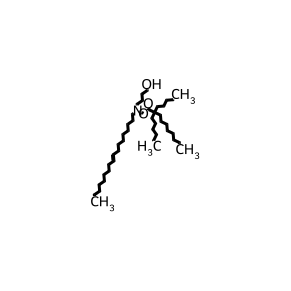 CCCCCCCCC=CCCCCCCCCN(CCCCO)OC(=O)C(CCCCC)(CCCCCC)CCCCCCCC